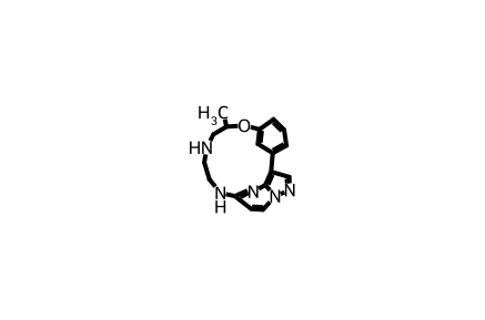 CC1CNCCNc2ccn3ncc(c3n2)-c2cccc(c2)O1